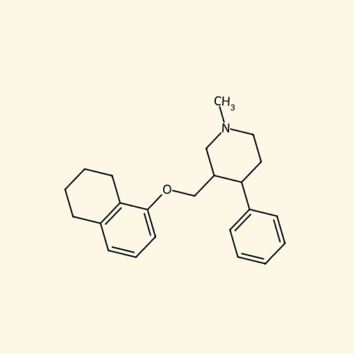 CN1CCC(c2ccccc2)C(COc2cccc3c2CCCC3)C1